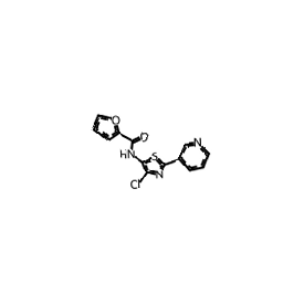 O=C(Nc1sc(-c2cccnc2)nc1Cl)c1ccco1